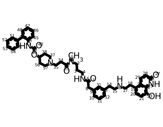 CN(CCCNC(=O)Cc1cccc(CCNCCc2ccc(O)c3[nH]c(=O)ccc23)c1)C(=O)CCN1CCC(OC(=O)Nc2ccccc2-c2ccccc2)CC1